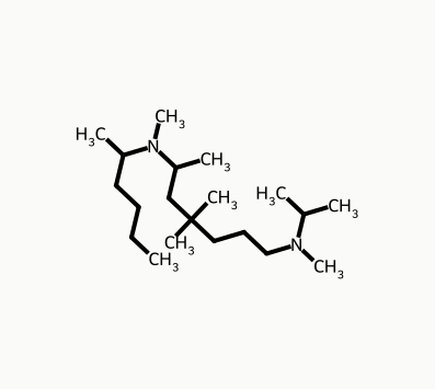 CCCCC(C)N(C)C(C)CC(C)(C)CCCN(C)C(C)C